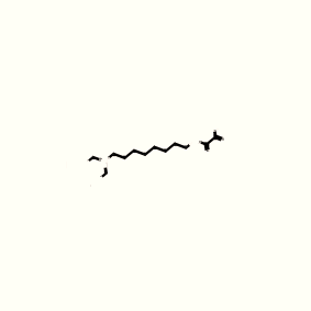 C=C(C)C(=O)OCCCCCCCCN(CC)CC